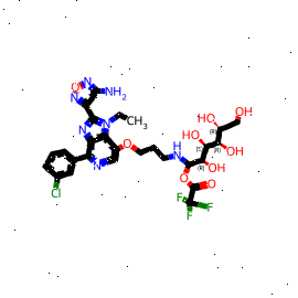 CCn1c(-c2nonc2N)nc2c(-c3cccc(Cl)c3)ncc(OCCCNC(OC(=O)C(F)(F)F)[C@H](O)[C@@H](O)[C@H](O)[C@H](O)CO)c21